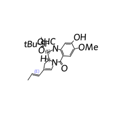 C/C=C/C1=CN2C(=O)c3cc(OC)c(O)cc3N(C=O)[C@@H](O[Si](C)(C)C(C)(C)C)[C@@H]2C1